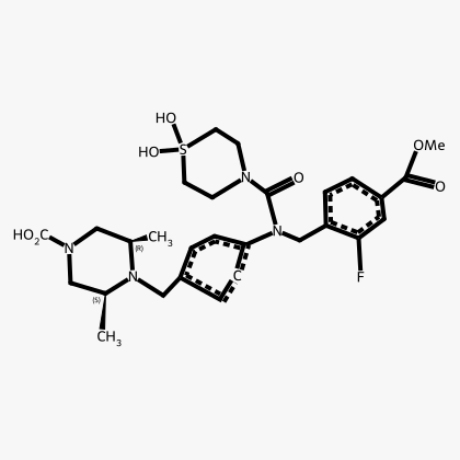 COC(=O)c1ccc(CN(C(=O)N2CCS(O)(O)CC2)c2ccc(CN3[C@H](C)CN(C(=O)O)C[C@@H]3C)cc2)c(F)c1